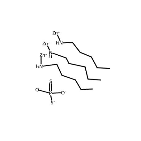 CCCCC[NH][Zn+].CCCCC[NH][Zn+].CCCCC[NH][Zn+].[O-]P([O-])(=S)[S-]